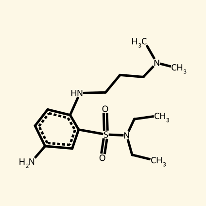 CCN(CC)S(=O)(=O)c1cc(N)ccc1NCCCN(C)C